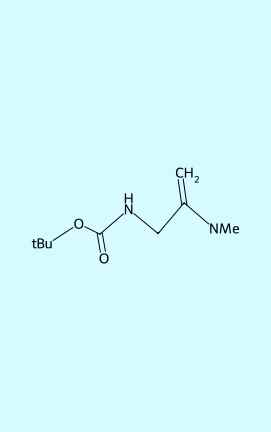 C=C(CNC(=O)OC(C)(C)C)NC